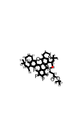 CC1=CC(C)(C)N2CCCc3c4c(cc1c32)C(c1c(F)c(F)c(F)c(F)c1C(=O)N(C)CCC(=O)OC(C)(C)C)=c1cc2c3c(c1O4)CCC[N+]=3C(C)(C)C=C2C